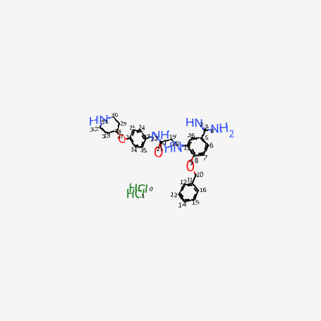 Cl.Cl.N=C(N)c1ccc(OCc2ccccc2)c(NCC(=O)Nc2ccc(OC3CCNCC3)cc2)c1